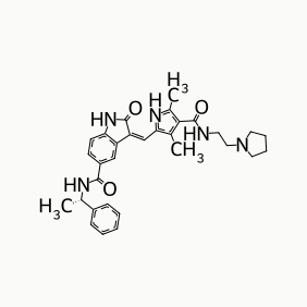 Cc1[nH]c(C=C2C(=O)Nc3ccc(C(=O)N[C@@H](C)c4ccccc4)cc32)c(C)c1C(=O)NCCN1CCCC1